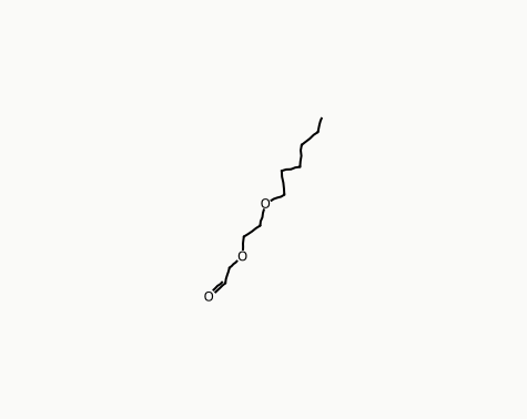 CCCCCCOCCOCC=O